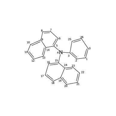 c1ccc(N(c2cccc3ccccc23)c2cccc3ccccc23)cc1